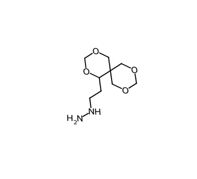 NNCCC1OCOCC12COCOC2